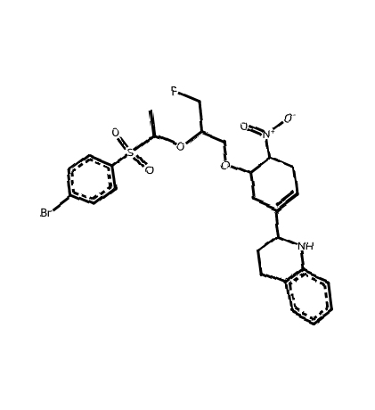 CC(OC(CF)COC1CC(C2CCc3ccccc3N2)=CCC1[N+](=O)[O-])S(=O)(=O)c1ccc(Br)cc1